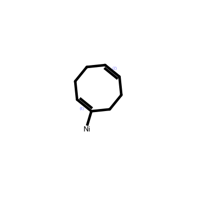 [Ni]/[C]1=C/CC/C=C\CC1